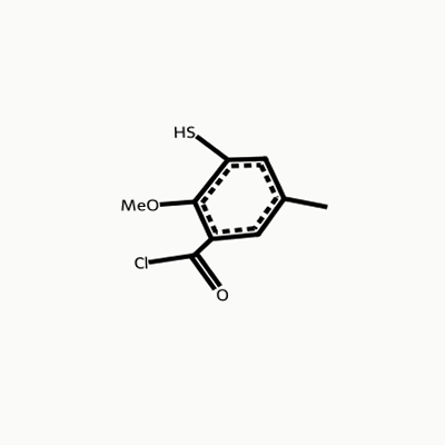 COc1c(S)cc(C)cc1C(=O)Cl